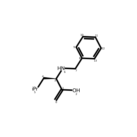 C=C(O)[C@@H](CC(C)C)NCc1ccccc1